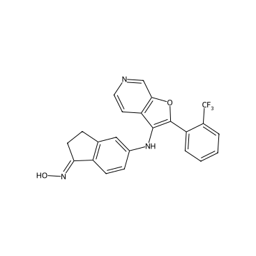 O/N=C1\CCc2cc(Nc3c(-c4ccccc4C(F)(F)F)oc4cnccc34)ccc21